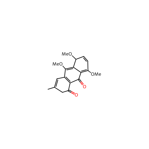 COC1=C2C(=O)C3=C(C=C(C)CC3=O)C(OC)=C2C(OC)C=C1